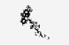 CCOC(=O)CCNC(=O)NCCN1C(=O)C2(COc3cc4c(cc32)OCO4)c2ccccc21